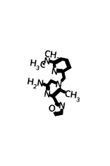 CC1=C(c2ncco2)N=C(N)CN1Cc1cccc(N(C)C)n1